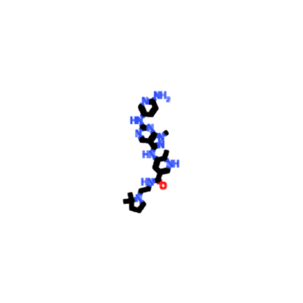 CC1NC=C(C(=O)NCCN2CCCC2(C)C)C=C1Nc1nn(C)c2nc(Nc3ccc(N)nc3)ncc12